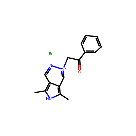 Cc1[nH]c(C)c2c[n+](CC(=O)c3ccccc3)ncc12.[Br-]